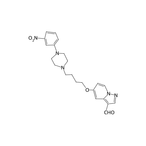 O=Cc1cnn2ccc(OCCCCN3CCN(c4cccc([N+](=O)[O-])c4)CC3)cc12